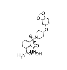 NC(=O)c1cccc(S(=O)(=O)N2CCC(Oc3ccc4c(c3)OCO4)CC2)c1C(=O)NO